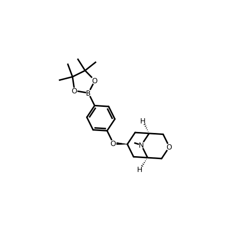 CN1[C@@H]2COC[C@H]1C[C@@H](Oc1ccc(B3OC(C)(C)C(C)(C)O3)cc1)C2